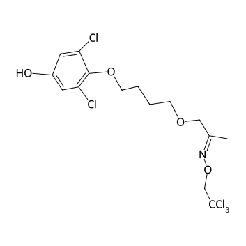 CC(COCCCCOc1c(Cl)cc(O)cc1Cl)=NOCC(Cl)(Cl)Cl